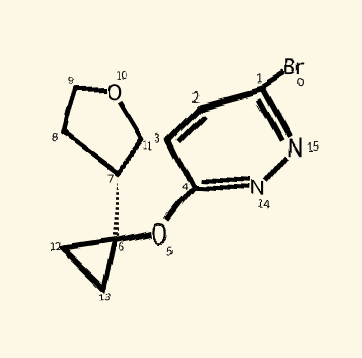 Brc1ccc(OC2([C@@H]3CCOC3)CC2)nn1